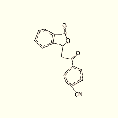 N#Cc1ccc(C(=O)CC2OC(=O)c3ccccc32)cc1